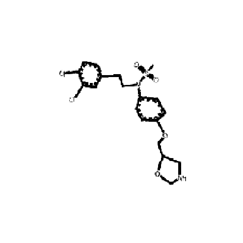 CS(=O)(=O)N(CCc1ccc(Cl)c(Cl)c1)c1ccc(OCC2CNCO2)cc1